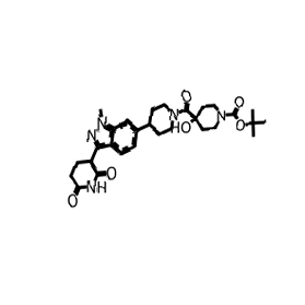 Cn1nc(C2CCC(=O)NC2=O)c2ccc(C3CCN(C(=O)C4(O)CCN(C(=O)OC(C)(C)C)CC4)CC3)cc21